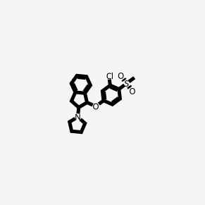 CS(=O)(=O)c1ccc(OC2c3ccccc3CC2N2CCCC2)cc1Cl